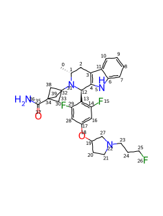 C[C@@H]1Cc2c([nH]c3ccccc23)[C@@H](c2c(F)cc(OC3CCN(CCCF)C3)cc2F)N1C12CC(C(N)=O)(C1)C2